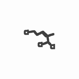 CC(=CCCCl)C(Cl)Cl